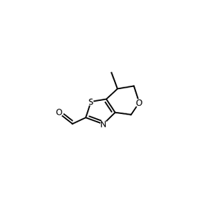 CC1COCc2nc(C=O)sc21